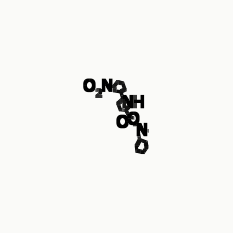 CN(CCOC(=O)C1=CNC(c2cccc([N+](=O)[O-])c2)=CC1)Cc1ccccc1